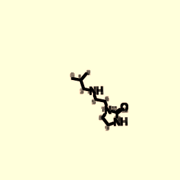 CC(C)CNCCN1CCNC1=O